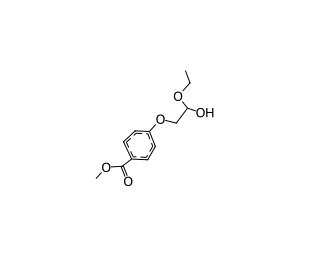 CCOC(O)COc1ccc(C(=O)OC)cc1